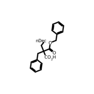 CCCCCCCCCCCC(Cc1ccccc1)(C(=O)O)C(=O)OCc1ccccc1